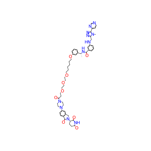 C[C@@H](NC(=O)c1cccc(NCc2nnc(-c3ccncn3)n2C)c1)c1cccc(OCCCCCCOCCOCCOCCC(=O)N2CCN(c3ccc4c(c3)CN(C3CCC(=O)NC3=O)C4=O)CC2)c1